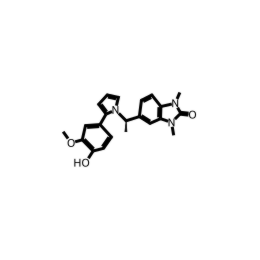 COc1cc(-c2cccn2[C@H](C)c2ccc3c(c2)n(C)c(=O)n3C)ccc1O